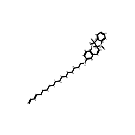 C=C/C=C/CCCCCCCCCCCCCCOc1ccc2c(c1)C=CC1(O2)N(C)c2ccccc2C1(C)C